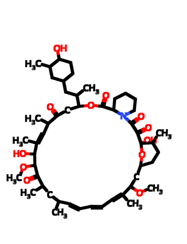 COC1CC2CCC(C)C(O)(O2)C(=O)C(=O)N2CCCCC2C(=O)OC(C(C)CC2CCC(O)C(C)C2)CC(=O)C(C)/C=C(\C)C(O)C(OC)C(=O)C(C)CC(C)/C=C/C=C/C=C/1C